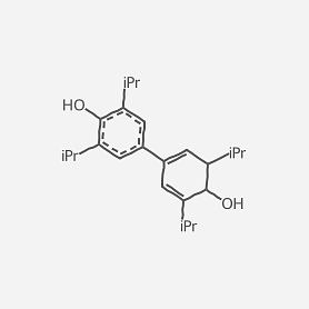 CC(C)C1=CC(c2cc(C(C)C)c(O)c(C(C)C)c2)=CC(C(C)C)C1O